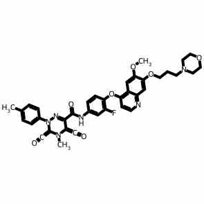 COc1cc2c(Oc3ccc(NC(=O)C4=NN(c5ccc(C)cc5)C(=C=O)N(C)C4=C=O)cc3F)ccnc2cc1OCCCN1CCOCC1